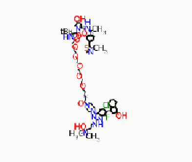 Cc1ncsc1-c1ccc([C@H](C)NC(=O)[C@@H]2C[C@@H](O)CN2C(=O)[C@@H](NC(=O)COCCOCCOCCOCCOCC/C=C/C(=O)N2CCN(c3nc(NCCC(O)N(C)C)nc4c(F)c(-c5cc(O)cc6ccccc56)c(Cl)cc34)CC2)C(C)(C)C)cc1